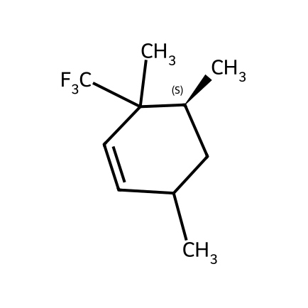 CC1C=CC(C)(C(F)(F)F)[C@@H](C)C1